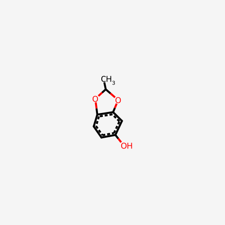 CC1Oc2ccc(O)cc2O1